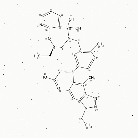 CC[C@@H]1CN(Cc2cc([C@@H](CC(=O)O)c3ccc4c(nnn4CC)c3C)ccc2C)S(O)(O)c2cccnc2O1